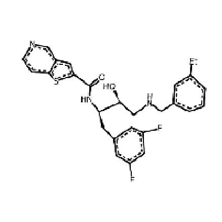 CCc1cccc(CNC[C@H](O)[C@@H](Cc2cc(F)cc(F)c2)NC(=O)c2cc3cnccc3s2)c1